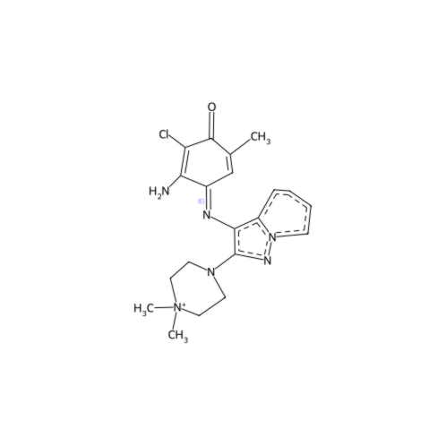 CC1=C/C(=N\c2c(N3CC[N+](C)(C)CC3)nn3ccccc23)C(N)=C(Cl)C1=O